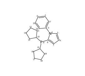 c1ccc(-n2cccc2P(C2CCCC2)C2CCCC2)cc1